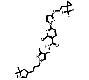 Cc1nn(CCCC2CNC(C)(C)C2)cc1SNC(=O)c1ccc(-n2ccc(OCCC3(C(F)(F)F)CC3)n2)nc1Cl